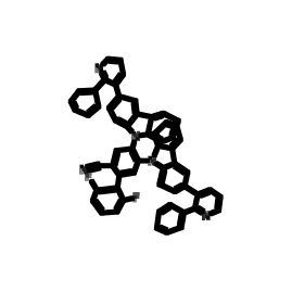 N#Cc1cc(-n2c3ccccc3c3cc(-c4cccnc4-c4ccccc4)ccc32)c(-n2c3ccccc3c3cc(-c4cccnc4-c4ccccc4)ccc32)cc1-c1c(F)cccc1F